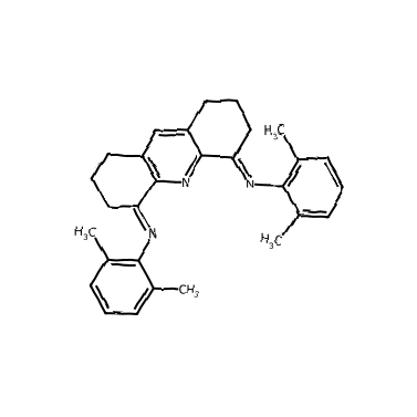 Cc1cccc(C)c1N=C1CCCc2cc3c(nc21)C(=Nc1c(C)cccc1C)CCC3